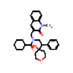 Cn1c(=O)c(CN(CC(c2ccccc2)C2(O)CCOCC2)C(=O)C2CCCCC2)cc2ccccc21